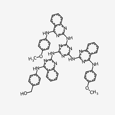 COc1ccc(Nc2nc(Nc3nc(Nc4nc(Nc5ccc(CO)cc5)c5ccccc5n4)nc(Nc4nc(Nc5ccc(OC)cc5)c5ccccc5n4)n3)nc3ccccc23)cc1